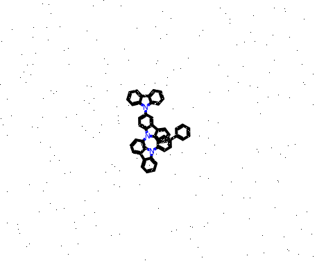 c1ccc(-c2ccc(-n3c4ccccc4c4cccc(-n5c6ccccc6c6cc(-n7c8ccccc8c8ccccc87)ccc65)c43)cc2)cc1